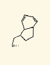 CCCCCCC1CCC2C=CC=CC21